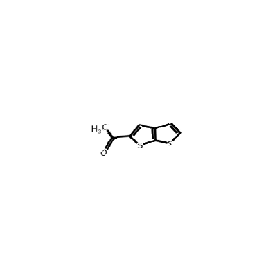 CC(=O)c1cc2ccsc2s1